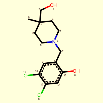 CC1(CO)CCN(Cc2cc(Cl)c(Cl)cc2O)CC1